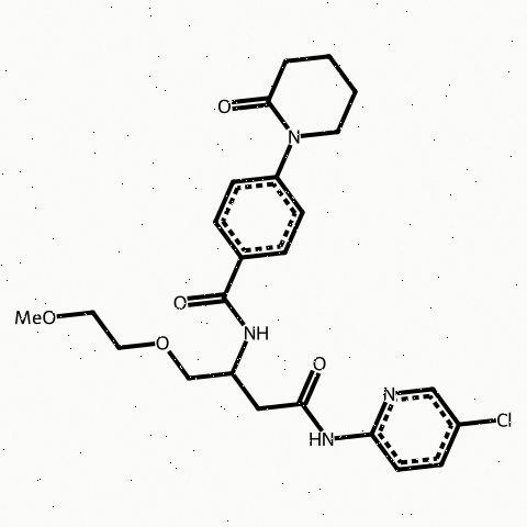 COCCOCC(CC(=O)Nc1ccc(Cl)cn1)NC(=O)c1ccc(N2CCCCC2=O)cc1